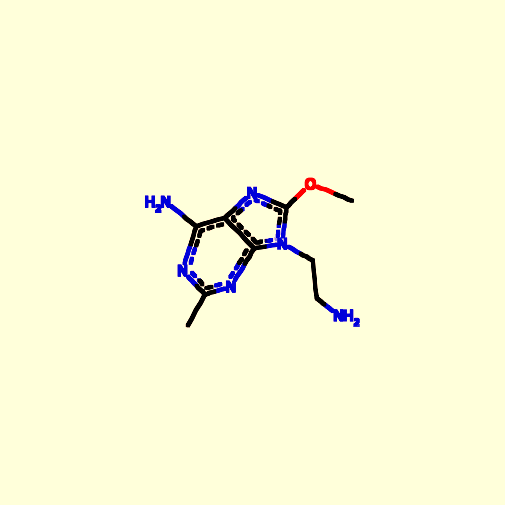 COc1nc2c(N)nc(C)nc2n1CCN